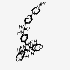 CC(C)N1CCN(c2ccc(NC(=O)Nc3ccc(-c4nc(N5[C@@H]6COC[C@H]5[C@@H](F)C6)nc(N5[C@@H]6COC[C@H]5[C@@H](F)C6)n4)cc3)cc2)CC1